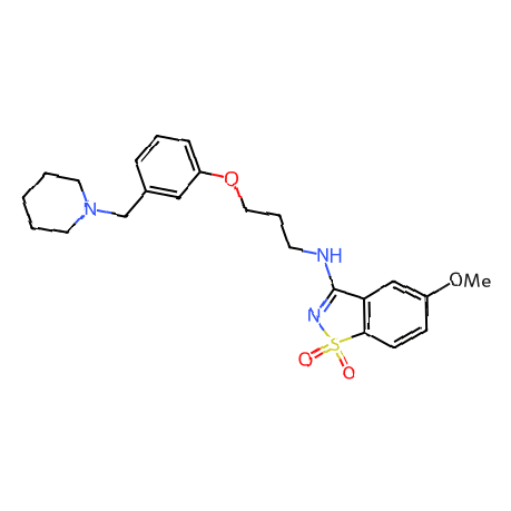 COc1ccc2c(c1)C(NCCCOc1cccc(CN3CCCCC3)c1)=NS2(=O)=O